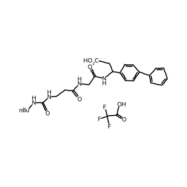 CCCCNC(=O)NCCC(=O)NCC(=O)NC(CC(=O)O)c1ccc(-c2ccccc2)cc1.O=C(O)C(F)(F)F